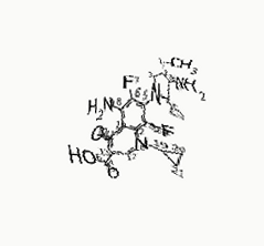 CC[C@H]1CN(c2c(F)c(N)c3c(=O)c(C(=O)O)cn(C4CC4)c3c2F)C[C@@H]1N